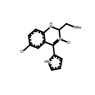 CNCC1Nc2ccc(Cl)cc2C(c2ccc[nH]2)=[N+]1[O-]